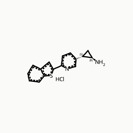 Cl.N[C@@H]1C[C@H]1c1ccc(-c2cc3ccccc3s2)nc1